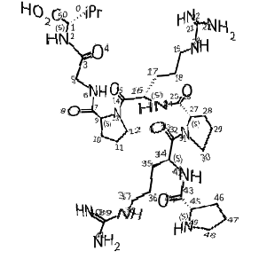 CC(C)[C@H](NC(=O)CNC(=O)[C@@H]1CCCN1C(=O)[C@H](CCCNC(=N)N)NC(=O)[C@@H]1CCCN1C(=O)[C@H](CCCNC(=N)N)NC(=O)[C@@H]1CCCN1)C(=O)O